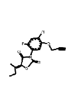 C#CCOc1cc(N2C(=O)OC(=C(C)CC)C2=O)c(F)cc1Cl